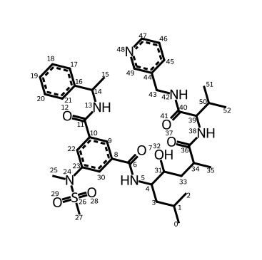 CC(C)CC(NC(=O)c1cc(C(=O)NC(C)c2ccccc2)cc(N(C)S(C)(=O)=O)c1)C(O)CC(C)C(=O)NC(C(=O)NCc1cccnc1)C(C)C